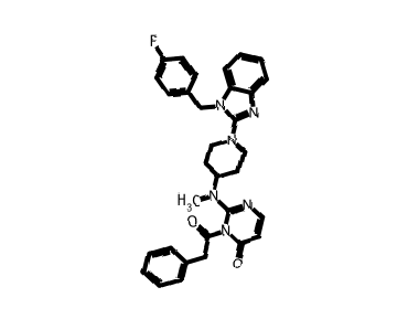 CN(c1nccc(=O)n1C(=O)Cc1ccccc1)C1CCN(c2nc3ccccc3n2Cc2ccc(F)cc2)CC1